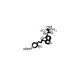 CCCCCCCN1CC[C@@H](CC[C@@H](O)c2ccnc3ccc(NC(=O)C(C)(C)O)cc23)[C@@H](CC)C1